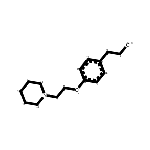 ClCCc1ccc(OCCN2CCCCC2)cc1